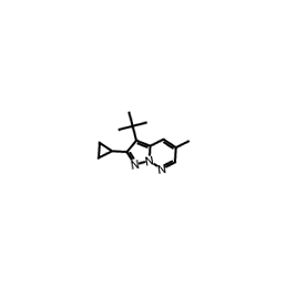 Cc1cnn2nc(C3CC3)c(C(C)(C)C)c2c1